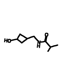 CC(C)C(=O)NCC1CC(O)C1